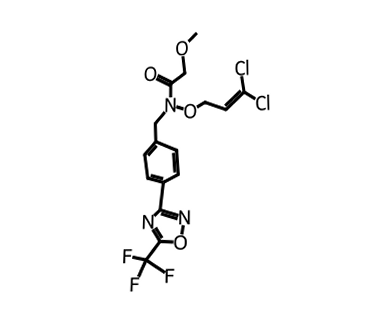 COCC(=O)N(Cc1ccc(-c2noc(C(F)(F)F)n2)cc1)OCC=C(Cl)Cl